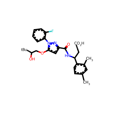 Cc1ccc(C(CC(=O)O)NC(=O)c2cc(OCC(O)C(C)(C)C)n(-c3ccccc3F)n2)c(C)c1